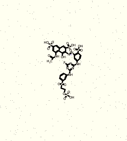 CC(=O)Nc1cc(S(=O)(=O)O)cc2cc(S(=O)(=O)O)c(/N=N/c3cc(Nc4nc(F)nc(Nc5cccc(S(=O)(=O)CCOS(=O)(=O)O)c5)n4)ccc3S(=O)(=O)O)c(O)c12